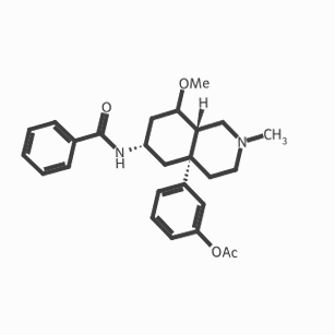 COC1C[C@@H](NC(=O)c2ccccc2)C[C@]2(c3cccc(OC(C)=O)c3)CCN(C)C[C@@H]12